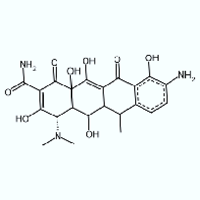 CC1c2ccc(N)c(O)c2C(=O)C2=C(O)C3(O)C(=O)C(C(N)=O)=C(O)[C@@H](N(C)C)C3C(O)C21